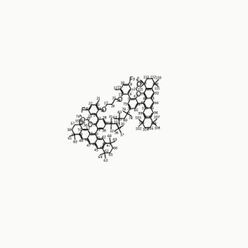 COCOc1c(-c2cc(F)cc(C)c2OCCCOc2c(C)cc(F)cc2-c2cc(C(C)(C)CC(C)(C)C)cc(-c3c4cc5c(cc4cc4cc6c(cc34)C(C)(C)CCC6(C)C)C(C)(C)CCC5(C)C)c2OCOC)cc(C(C)(C)CC(C)(C)C)cc1-c1c2cc3c(cc2cc2cc4c(cc12)C(C)(C)CCC4(C)C)C(C)(C)CCC3(C)C